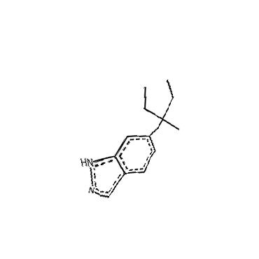 CCC(C)(CC)c1ccc2cn[nH]c2c1